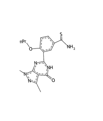 CCCOc1ccc(C(N)=S)cc1-c1nc2c(c(C)nn2C)c(=O)[nH]1